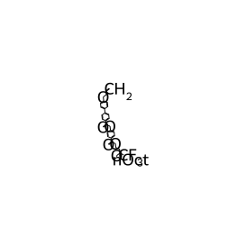 C=CCOc1ccc(-c2ccc(C(=O)Oc3ccc(C(=O)OCCC(OCCCCCCCC)C(F)(F)F)cc3)cc2)cc1